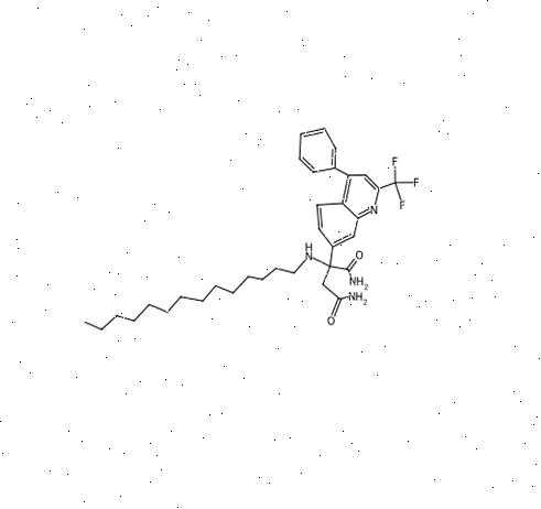 CCCCCCCCCCCCCCNC(CC(N)=O)(C(N)=O)c1ccc2c(-c3ccccc3)cc(C(F)(F)F)nc2c1